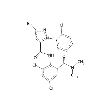 CN(C)C(=O)c1cc(Cl)cc(Cl)c1NC(=O)c1cc(Br)nn1-c1ncccc1Cl